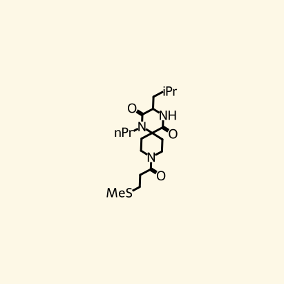 CCCN1C(=O)C(CC(C)C)NC(=O)C12CCN(C(=O)CCSC)CC2